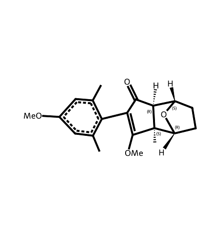 COC1=C(c2c(C)cc(OC)cc2C)C(=O)[C@H]2[C@@H]3CC[C@@H](O3)[C@@]12C